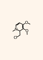 COC1=C(OC)C(CCl)N(C)C=C1